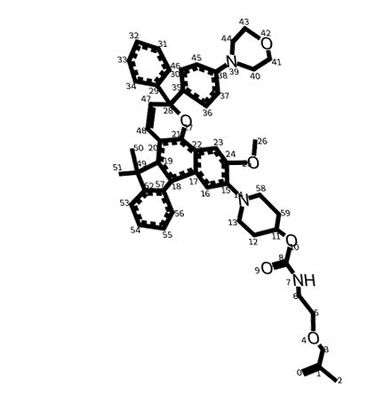 C=C(C)COCCNC(=O)OC1CCN(c2cc3c4c(c5c(c3cc2OC)OC(c2ccccc2)(c2ccc(N3CCOCC3)cc2)C=C5)C(C)(C)c2ccccc2-4)CC1